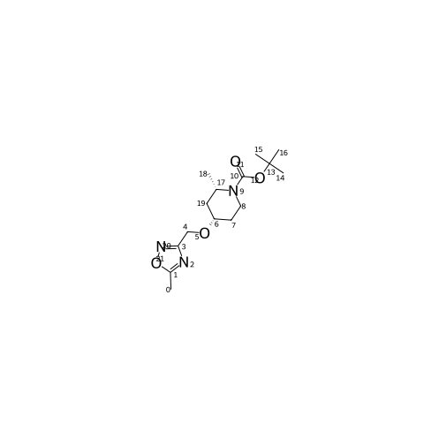 Cc1nc(CO[C@H]2CCN(C(=O)OC(C)(C)C)[C@@H](C)C2)no1